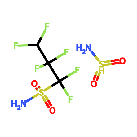 NS(=O)(=O)C(F)(F)C(F)(F)C(F)F.N[SH](=O)=O